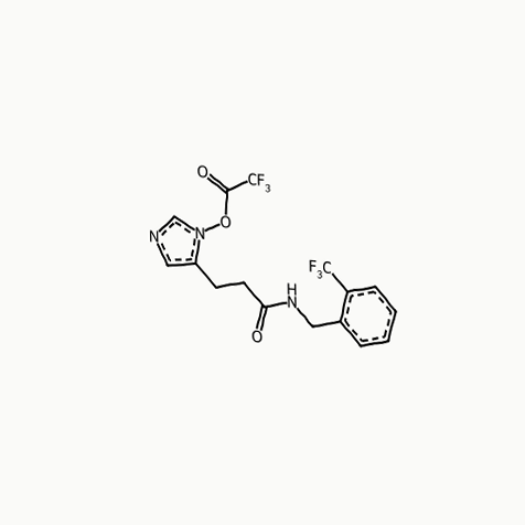 O=C(CCc1cncn1OC(=O)C(F)(F)F)NCc1ccccc1C(F)(F)F